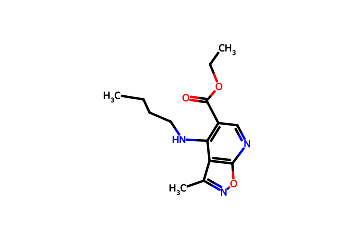 CCCCNc1c(C(=O)OCC)cnc2onc(C)c12